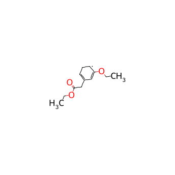 CCOC(=O)CC1=CC[CH]C(OCC)=C1